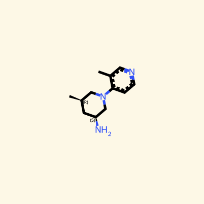 Cc1cnccc1N1C[C@H](C)C[C@H](N)C1